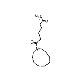 NC(=O)CCCCC(=O)N1CCCCCCCCC1